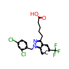 O=C(O)CCCCc1nn(Cc2ccc(Cl)cc2Cl)c2ccc(C(F)(F)F)cc12